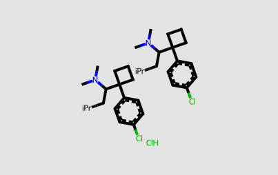 CC(C)CC(N(C)C)C1(c2ccc(Cl)cc2)CCC1.CC(C)CC(N(C)C)C1(c2ccc(Cl)cc2)CCC1.Cl